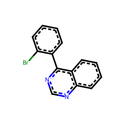 Brc1ccccc1-c1ncnc2ccccc12